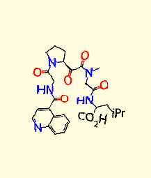 CC(C)CC(NC(=O)CN(C)C(=O)C(=O)[C@@H]1CCCN1C(=O)CNC(=O)c1ccnc2ccccc12)C(=O)O